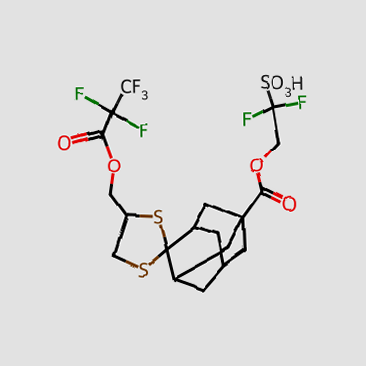 O=C(OCC(F)(F)S(=O)(=O)O)C12CC3CC(C1)C1(SCC(COC(=O)C(F)(F)C(F)(F)F)S1)C(C3)C2